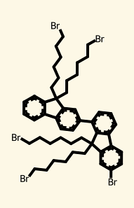 BrCCCCCCC1(CCCCCCBr)c2ccccc2-c2ccc(-c3cccc4c3C(CCCCCCBr)(CCCCCCBr)c3cc(Br)ccc3-4)cc21